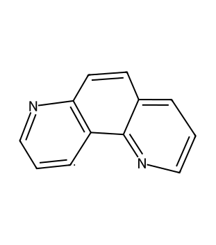 [c]1ccnc2ccc3cccnc3c12